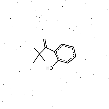 C=C(c1ccccc1O)C(C)(C)C